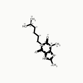 Cc1nc2c([nH]1)c(=O)n(CCCC[C@H](C)O)c(=O)n2C